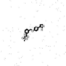 CS(=O)(=O)NC(=O)c1cccc(COc2ccc(-c3ccn[nH]3)nc2)c1